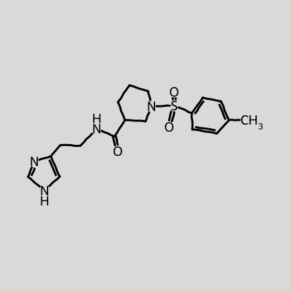 Cc1ccc(S(=O)(=O)N2CCCC(C(=O)NCCc3c[nH]cn3)C2)cc1